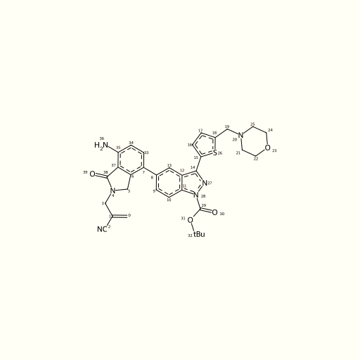 C=C(C#N)CN1Cc2c(-c3ccc4c(c3)c(-c3ccc(CN5CCOCC5)s3)nn4C(=O)OC(C)(C)C)ccc(N)c2C1=O